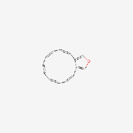 C1=CC=CC=Cc2cocc2C=CC=C1